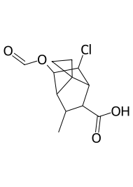 CC1C(C(=O)O)C2C(Cl)C(OC=O)C1C21CC1